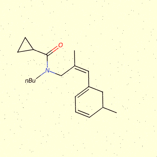 CCCCN(C/C(C)=C\C1=CC=CC(C)C1)C(=O)C1CC1